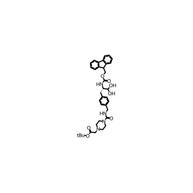 CC(C)(C)OC(=O)CN1CCN(C(=O)NCc2ccc(C[C@H](NC(=O)OCC3c4ccccc4-c4ccccc43)C(O)O)cc2)CC1